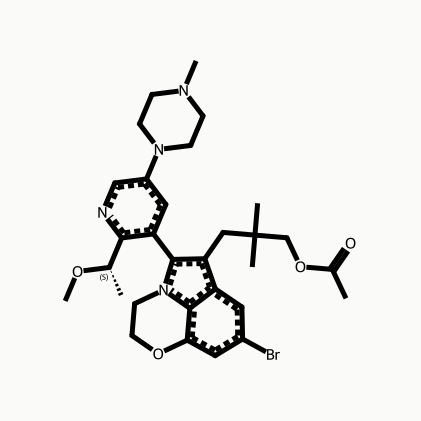 CO[C@@H](C)c1ncc(N2CCN(C)CC2)cc1-c1c(CC(C)(C)COC(C)=O)c2cc(Br)cc3c2n1CCO3